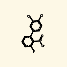 O=[N+]([O-])c1c(F)cccc1-c1ccc(Cl)c(Cl)c1